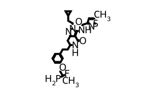 Cc1cc(C(=O)Nc2c3c(nn2CCC2CC2)CC(CCc2cccc(OCC(C)(F)P)c2)NC3=O)ns1